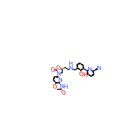 N#Cc1cccc(-c2cccc(CNCC[C@H]3CN(c4ccc5c(n4)NC(=O)CO5)C(=O)O3)c2O)n1